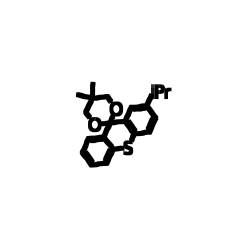 CC(C)c1ccc2c(c1)C1(OCC(C)(C)CO1)c1ccccc1S2